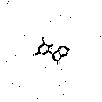 O=C1C=C(F)C(=O)C(c2c[nH]c3ccccc23)=C1